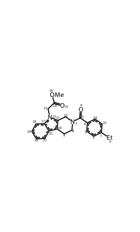 CCc1ccc(C(=O)N2CCc3c(n(CC(=O)OC)c4ccccc34)C2)cc1